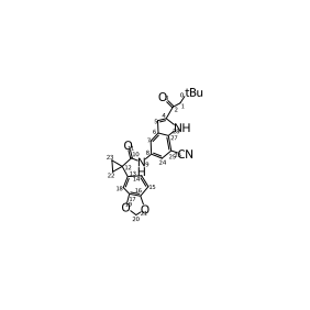 CC(C)(C)CC(=O)c1cc2cc(NC(=O)C3(c4ccc5c(c4)OCO5)CC3)cc(C#N)c2[nH]1